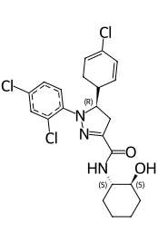 O=C(N[C@H]1CCCC[C@@H]1O)C1=NN(c2ccc(Cl)cc2Cl)[C@@H](C2C=CC(Cl)=CC2)C1